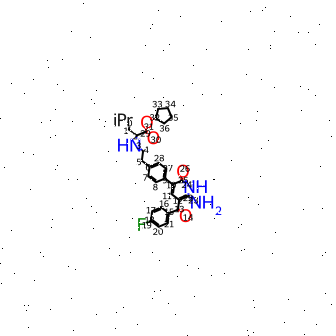 CC(C)C[C@H](NCCc1ccc(-c2cc(C(=O)c3ccc(F)cc3)c(N)[nH]c2=O)cc1)C(=O)OC1CCCC1